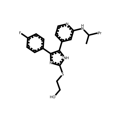 CC(C)C(C)Nc1cc(-c2[nH]c(SCCO)nc2-c2ccc(F)cc2)ccn1